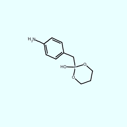 Nc1ccc(C[P]2(O)OCCCO2)cc1